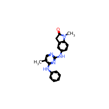 Cc1cnc(Nc2ccc3c(c2)CC(=O)N3C)nc1Nc1ccccc1